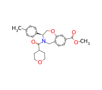 COC(=O)c1ccc2c(c1)OC[C@H](c1ccc(C)cc1)N(C(=O)C1CCOCC1)C2